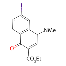 CCOC(=O)C1=CC(NC)c2cc(I)ccc2C1=O